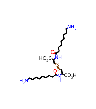 NCCCCCCCCC(=O)NC(CSSCC(NC(=O)CCCCCCCCN)C(=O)O)C(=O)O